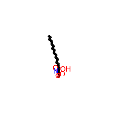 CCCCCCCCCCCCCCc1onc(C(=O)OC)c1O